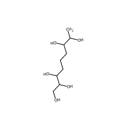 [CH2]C(O)C(O)CCCC(O)C(O)CO